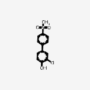 CS(=O)(=O)c1ccc(-c2ccc(O)c(Cl)c2)cc1